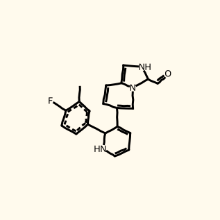 Cc1cc(C2NC=CC=C2C2=CN3C(=CNC3C=O)C=C2)ccc1F